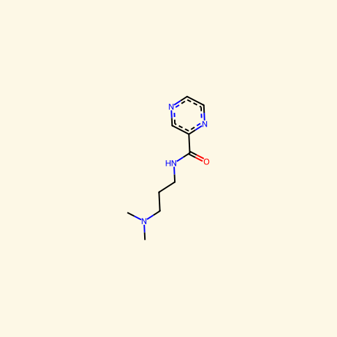 CN(C)CCCNC(=O)c1cnccn1